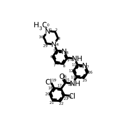 CN1CCN(c2cccc(Nc3cc(NC(=O)c4c(Cl)cccc4Cl)ccn3)n2)CC1